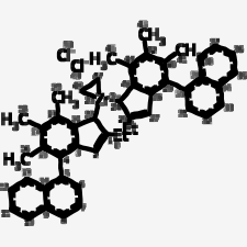 CCC1=Cc2c(-c3cccc4ccccc34)c(C)c(C)c(C)c2[CH]1[Zr+2]1([CH]2C(CC)=Cc3c(-c4cccc5ccccc45)c(C)c(C)c(C)c32)[CH2][CH2]1.[Cl-].[Cl-]